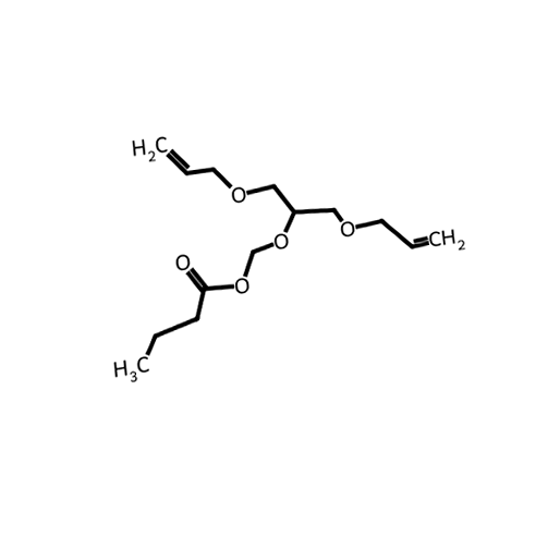 C=CCOCC(COCC=C)OCOC(=O)CCC